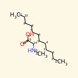 CCCCCCCCCCCC.CNCC(=O)O